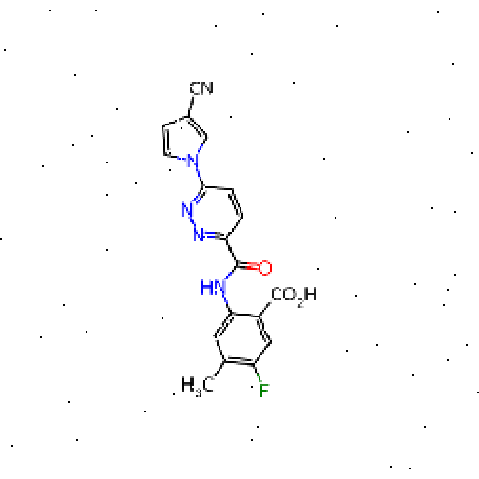 Cc1cc(NC(=O)c2ccc(-n3ccc(C#N)c3)nn2)c(C(=O)O)cc1F